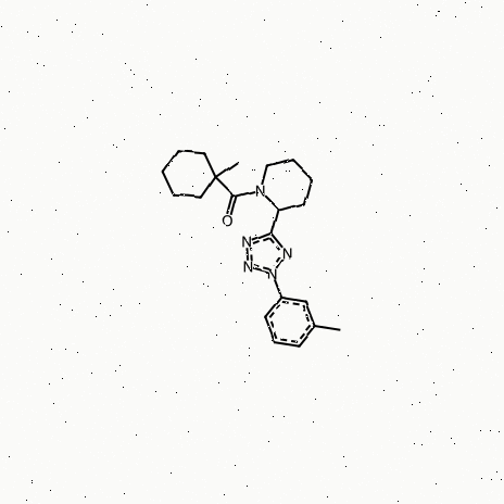 Cc1cccc(-n2nnc(C3CCCCN3C(=O)C3(C)CCCCC3)n2)c1